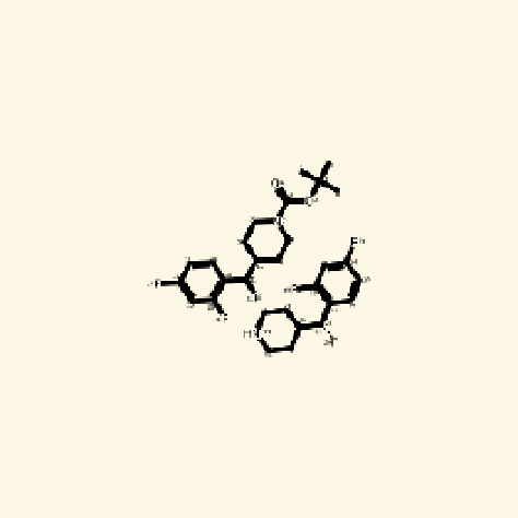 CC(C)(C)OC(=O)N1CCC(C(F)c2ccc(F)cc2F)CC1.Fc1ccc([C@H](F)C2CCNCC2)c(F)c1